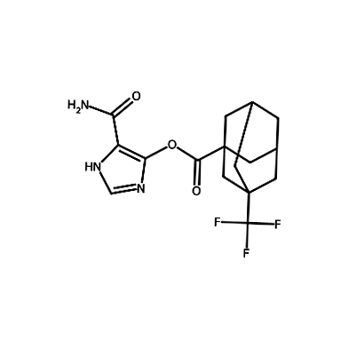 NC(=O)c1[nH]cnc1OC(=O)C12CC3CC(C1)CC(C(F)(F)F)(C3)C2